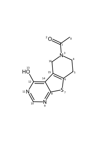 CC(=O)N1CCc2sc3ncnc(O)c3c2C1